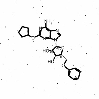 Nc1nc(OC2CCCC2)nc2c1ncn2[C@@H]1O[C@H](COc2ccccc2)[C@@H](O)[C@H]1O